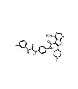 Cc1cccc(NC(=O)Nc2ccc(NC(=O)c3c(N4CCN(C)CC4)sc4ncnc(N)c34)cc2)c1